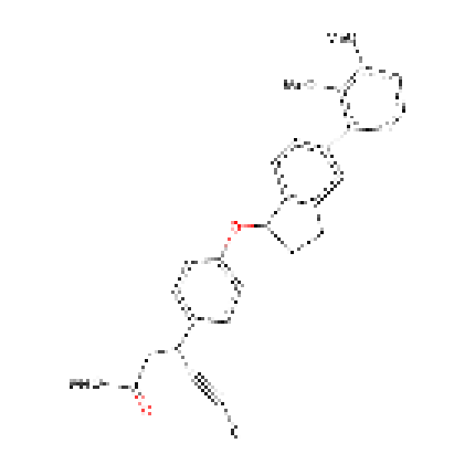 CC#C[C@H](CC(=O)OC)c1ccc(OC2CCc3cc(-c4cccc(OC)c4OC)ccc32)cc1